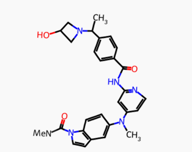 CNC(=O)n1ccc2cc(N(C)c3ccnc(NC(=O)c4ccc(C(C)N5CC(O)C5)cc4)c3)ccc21